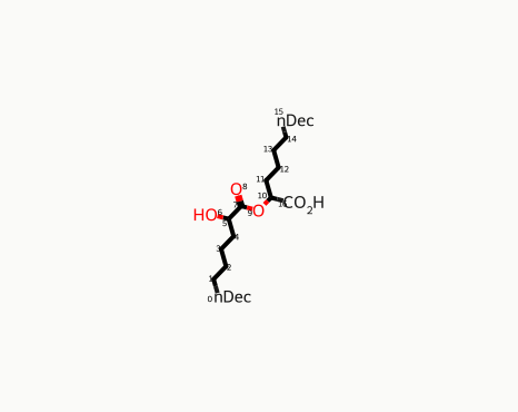 CCCCCCCCCCCCCCC(O)C(=O)OC(CCCCCCCCCCCCCC)C(=O)O